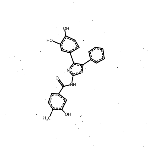 Cc1ccc(C(=O)Nc2nc(-c3ccc(O)c(O)c3)c(-c3ccccc3)s2)cc1O